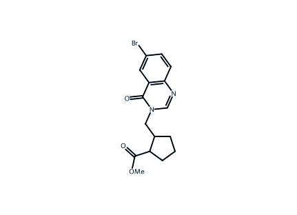 COC(=O)C1CCCC1Cn1cnc2ccc(Br)cc2c1=O